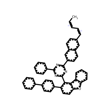 C/C=C\C=C/c1ccc2cc(-c3nc(-c4ccccc4)nc(-c4c(-c5ccc(-c6ccccc6)cc5)ccc5oc6ccccc6c45)n3)ccc2c1